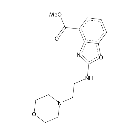 COC(=O)c1cccc2oc(NCCN3CCOCC3)nc12